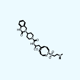 C[SiH](C)CCS(=O)(=O)n1cccc(CC(NC(=O)N2CCC(N3Cc4ccccc4NC3=O)CC2)C(=O)O)cccn1